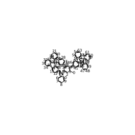 Cc1cc(N(c2ccccc2)c2ccc3c(c2)C(c2ccccc2)(c2ccccc2)c2ccccc2-3)cc(C)c1-c1ccc([Si](c2ccccc2)(c2ccccc2)c2ccccc2)cc1